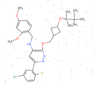 COc1ccc(CNc2cc(-c3cc(Cl)ccc3F)nnc2OCC2CC(O[Si](C)(C)C(C)(C)C)C2)c(OC)c1